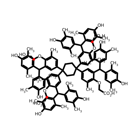 Cc1cc(C(c2cc(C)c(O)cc2C)c2cc(C3(c4cc(C)c(OCC(=O)O)c(C(c5cc(C)c(O)cc5C)c5cc(C)c(O)cc5C)c4)CCC(c4cc(C)c(OCC(=O)O)c(C(c5cc(C)c(O)cc5C)c5cc(C)c(O)cc5C)c4)(c4cc(C)c(OCC(=O)O)c(C(c5cc(C)c(O)cc5C)c5cc(C)c(O)cc5C)c4)CC3)cc(C)c2OCC(=O)O)c(C)cc1O